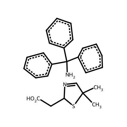 CC1(C)C=NC(CC(=O)O)S1.NC(c1ccccc1)(c1ccccc1)c1ccccc1